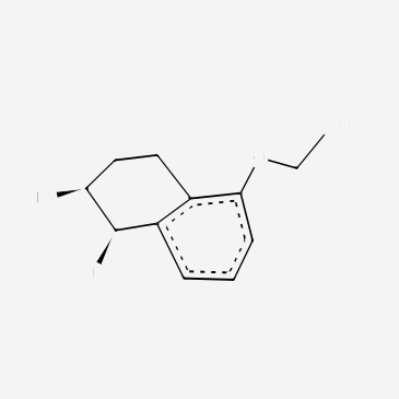 [CH2]C[C@@H]1c2cccc(OCC(=O)O)c2CC[C@@H]1O